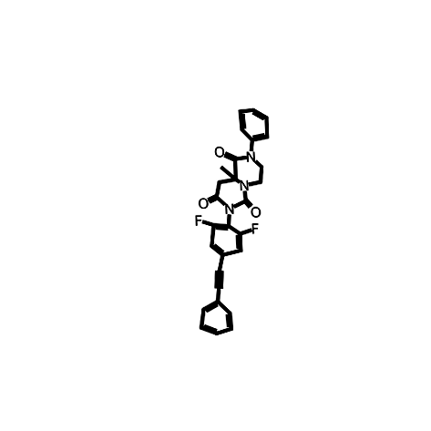 CC12CC(=O)N(c3c(F)cc(C#Cc4ccccc4)cc3F)C(=O)N1CCN(c1ccccc1)C2=O